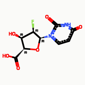 O=C(O)[C@H]1O[C@@H](n2ccc(=O)[nH]c2=O)[C@H](F)[C@@H]1O